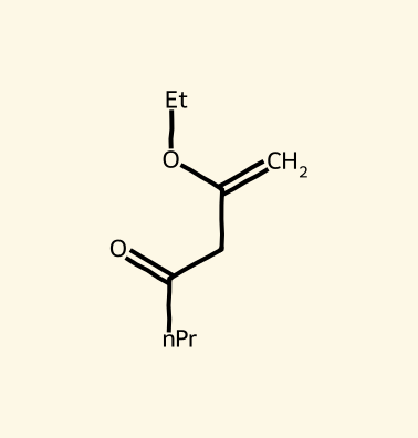 C=C(CC(=O)CCC)OCC